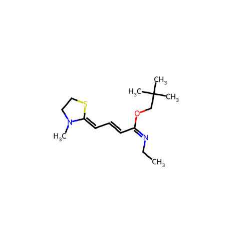 CC\N=C(/C=C/C=C1\SCCN1C)OCC(C)(C)C